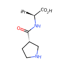 CC(C)[C@H](NC(=O)[C@H]1CCNC1)C(=O)O